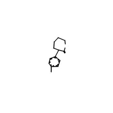 Cc1ccc(C2CCCCOC2=O)cc1